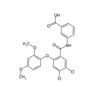 COc1ccc(Oc2cc(Cl)c(Cl)cc2C(=O)Nc2cccc(C(=O)O)c2)c(OC)c1